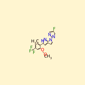 COCOc1cc(C(F)(F)F)cc(C)c1-c1cc2ccn(-c3ncc(F)cn3)c2nn1